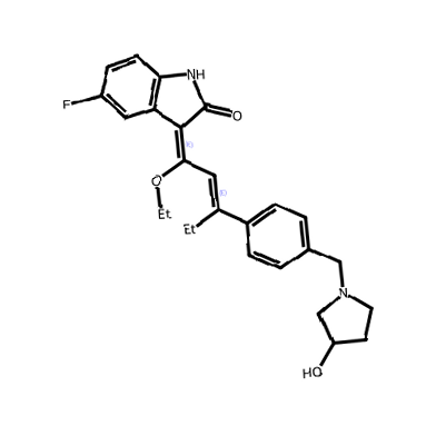 CCOC(/C=C(\CC)c1ccc(CN2CCC(O)C2)cc1)=C1/C(=O)Nc2ccc(F)cc21